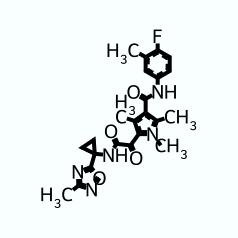 Cc1noc(C2(NC(=O)C(=O)c3c(C)c(C(=O)Nc4ccc(F)c(C)c4)c(C)n3C)CC2)n1